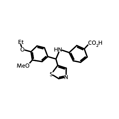 CCOc1ccc(C(Nc2cccc(C(=O)O)c2)c2cncs2)cc1OC